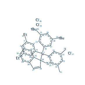 CCc1cc(CC)cc([Si](c2cc(C)cc(C)c2)(c2cc(C(C)(C)C)cc(C(C)(C)C)c2)[C]2([Ti+3])C=Cc3ccccc32)c1.[Cl-].[Cl-].[Cl-]